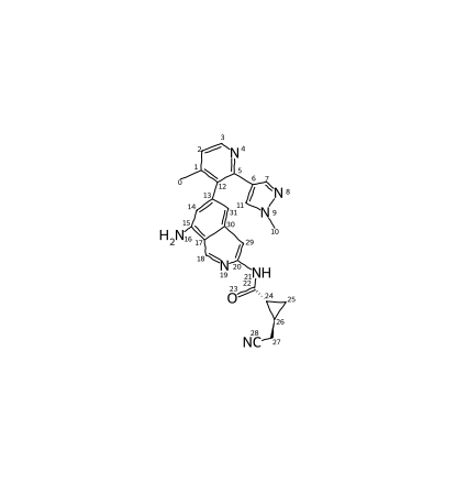 Cc1ccnc(-c2cnn(C)c2)c1-c1cc(N)c2cnc(NC(=O)[C@@H]3C[C@H]3CC#N)cc2c1